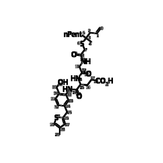 C=CCC(C)(CCCCC)SCC(=O)NCC(=O)N[C@@H](CCC(=O)O)C(=O)Nc1cc(Cc2cc(C)cs2)ccc1CO